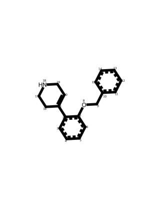 C1=C(c2ccccc2OCc2ccccc2)CCNC1